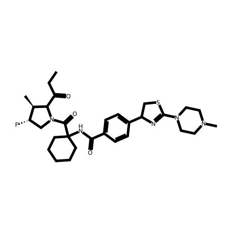 CCC(=O)C1[C@H](C)[C@@H](F)CN1C(=O)C1(NC(=O)c2ccc(C3CSC(N4CCN(C)CC4)=N3)cc2)CCCCC1